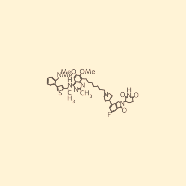 CNCc1ccccc1-c1csc([C@@H](C)Nc2nc(C)nc3c(CCCCCCCN4CCC(c5cc(F)cc6c5CN(C5CCC(=O)NC5=O)C6=O)CC4)c(OC)c(OC)cc23)c1